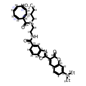 CCN(CC)c1ccc2cc(-c3nc4cc(C(=O)NCCN(CCCC(=O)O)C(=O)C5=C/C=C\C=C/C=C\5)ccc4o3)c(=O)oc2c1